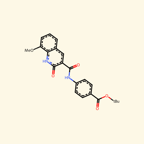 COc1cccc2cc(C(=O)Nc3ccc(C(=O)OC(C)(C)C)cc3)c(=O)[nH]c12